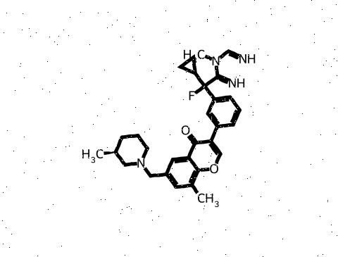 Cc1cc(CN2CCC[C@H](C)C2)cc2c(=O)c(-c3cccc(C(F)(C(=N)N(C)C=N)C4CC4)c3)coc12